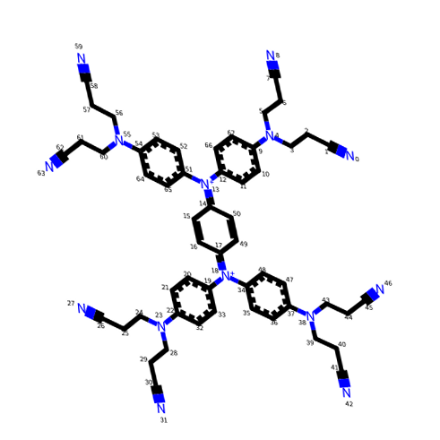 N#CCCN(CCC#N)c1ccc([N+](=C2C=CC(=[N+](c3ccc(N(CCC#N)CCC#N)cc3)c3ccc(N(CCC#N)CCC#N)cc3)C=C2)c2ccc(N(CCC#N)CCC#N)cc2)cc1